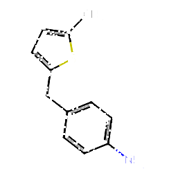 Cc1ccc(Cc2c[c]c(N)cc2)s1